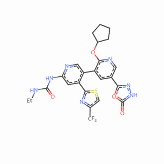 CCNC(=O)Nc1cc(-c2nc(C(F)(F)F)cs2)c(-c2cc(-c3n[nH]c(=O)o3)cnc2OC2CCCC2)cn1